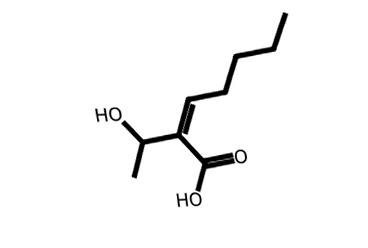 CCCCC=C(C(=O)O)C(C)O